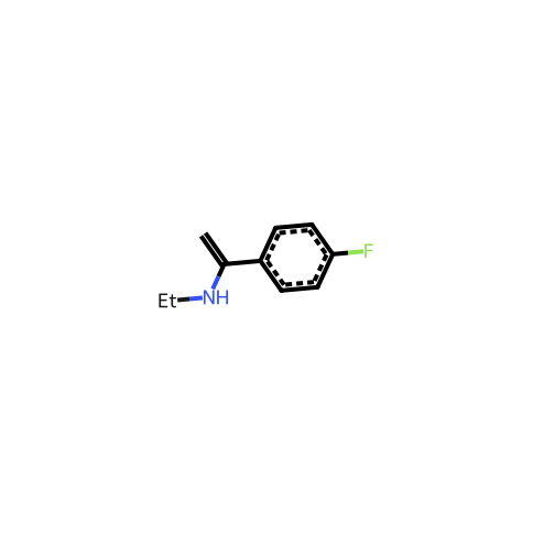 C=C(NCC)c1ccc(F)cc1